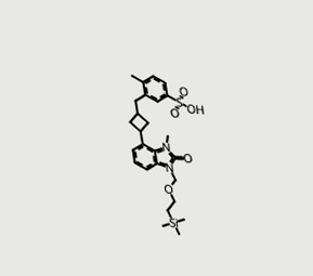 Cc1ccc(S(=O)(=O)O)cc1CC1CC(c2cccc3c2n(C)c(=O)n3COCC[Si](C)(C)C)C1